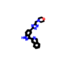 c1ccc2cc(-c3n[nH]c4ccc(C5=NC(CN6CCOCC6)N=N5)cc34)ncc2c1